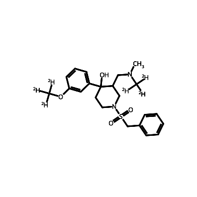 [2H]C([2H])([2H])Oc1cccc(C2(O)CCN(S(=O)(=O)Cc3ccccc3)CC2CN(C)C([2H])([2H])[2H])c1